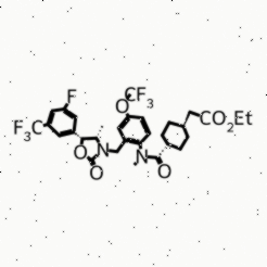 CCOC(=O)C[C@H]1CC[C@H](C(=O)N(C)c2ccc(OC(F)(F)F)cc2CN2C(=O)O[C@H](c3cc(F)cc(C(F)(F)F)c3)[C@@H]2C)CC1